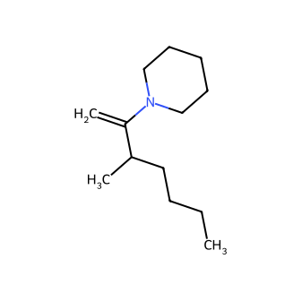 C=C(C(C)CCCC)N1CCCCC1